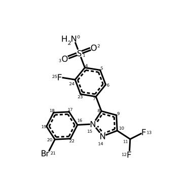 NS(=O)(=O)c1ccc(-c2cc(C(F)F)nn2-c2cccc(Br)c2)cc1F